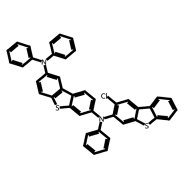 Clc1cc2c(cc1N(c1ccccc1)c1ccc3c(c1)sc1ccc(N(c4ccccc4)c4ccccc4)cc13)sc1ccccc12